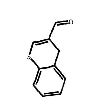 O=CC1=CSc2ccccc2C1